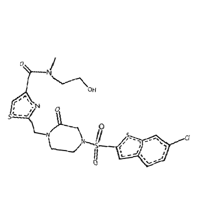 CN(CCO)C(=O)c1csc(CN2CCN(S(=O)(=O)c3cc4ccc(Cl)cc4s3)CC2=O)n1